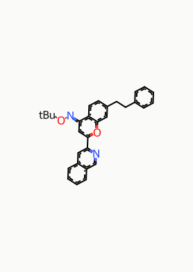 CC(C)(C)ON=c1cc(-c2cc3ccccc3cn2)oc2cc(CCc3ccccc3)ccc12